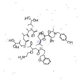 C=C(C(C)CC(=C)[C@H](CC(=O)C(CC(=O)[C@H](C/C(C)=C(/CC(C)C)OC(=O)C1=C(C(C)C)CN(Cc2ccc(O)cc2)C(C)O1)CC1COc2ccccc21)OCCN)CC(C)C(O)O)C(C)[C@H](CC(C)C(O)O)C(=C)CC